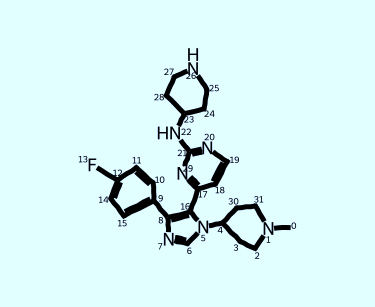 CN1CCC(n2cnc(-c3ccc(F)cc3)c2-c2ccnc(NC3CCNCC3)n2)CC1